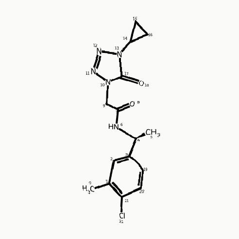 Cc1cc([C@H](C)NC(=O)Cn2nnn(C3CC3)c2=O)ccc1Cl